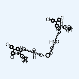 O=C(CCCCCOc1cc(NC2CCN(S(=O)(=O)C(F)(F)F)CC2)c2cc(C(c3ccc(Cl)cc3)c3ccc(Cl)cc3)ccc2n1)NCCCOCCOC1CCC[C@H](CCOCCCNC(=O)CCCCCOc2cc(NC3CCN(S(=O)(=O)C(F)(F)F)CC3)c3cc(C(c4ccc(Cl)cc4)c4ccc(Cl)cc4)ccc3n2)CC1